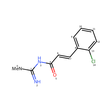 CNC(=N)NC(=O)/C=C/c1ccccc1Cl